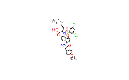 CCCCC(C(=O)O)N(c1cccc2c(NC(=O)Cc3ccc(OC)cc3)cccc12)S(=O)(=O)c1cc(Cl)cc(Cl)c1